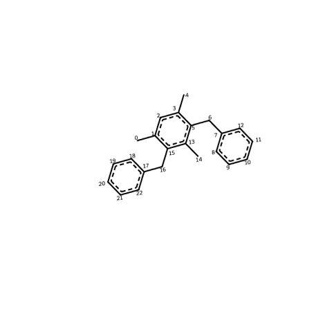 Cc1cc(C)c(Cc2ccccc2)c(C)c1Cc1ccccc1